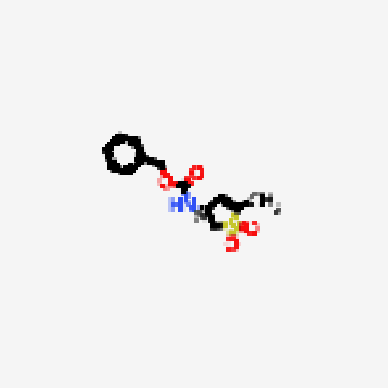 CC1=C[C@@H](NC(=O)OCc2ccccc2)CS1(=O)=O